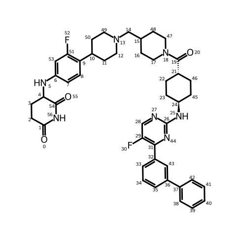 O=C1CCC(Nc2ccc(C3CCN(CC4CCN(C(=O)[C@H]5CC[C@H](Nc6ncc(F)c(-c7cccc(-c8ccccc8)c7)n6)CC5)CC4)CC3)c(F)c2)C(=O)N1